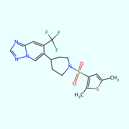 Cc1cc(S(=O)(=O)N2CCC(c3cn4ncnc4cc3C(F)(F)F)CC2)c(C)s1